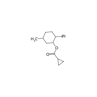 CC1CCC(C(C)C)C(OC(=O)C2CC2)C1